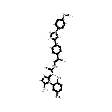 CCCc1ccc(C)cc1-n1c(C)cs/c1=N\C(=O)N/C=C(\F)c1ccc(-c2ncn(-c3ccc(OC(F)(F)F)cc3)n2)cc1